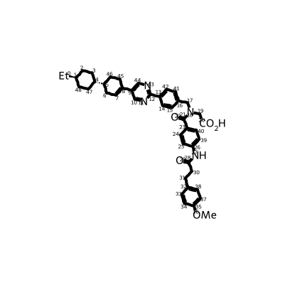 CC[C@H]1CC[C@H](C2CC=C(c3cnc(-c4ccc(CN(CC(=O)O)C(=O)c5ccc(NC(=O)CCc6ccc(OC)cc6)cc5)cc4)nc3)CC2)CC1